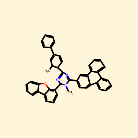 CC1C=C(c2ccccc2)C=CC1C1=NC(c2cccc3c2oc2ccccc23)N(C)C(c2ccc3c4ccccc4c4ccccc4c3c2)=N1